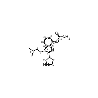 CN(C)CCn1c(C2CCNC2)nc2c(OC(N)=O)cccc21